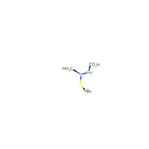 CCCCSN(NC(=O)O)C(=O)O